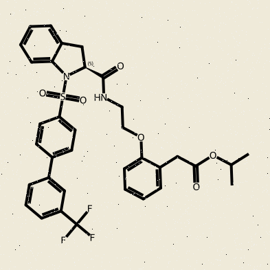 CC(C)OC(=O)Cc1ccccc1OCCNC(=O)[C@@H]1Cc2ccccc2N1S(=O)(=O)c1ccc(-c2cccc(C(F)(F)F)c2)cc1